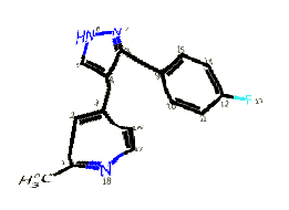 Cc1cc(-c2c[nH]nc2-c2ccc(F)cc2)ccn1